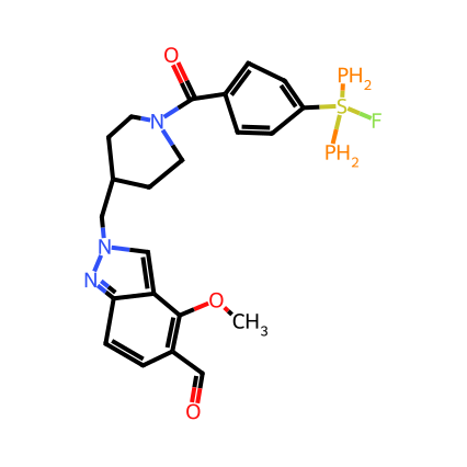 COc1c(C=O)ccc2nn(CC3CCN(C(=O)c4ccc(S(F)(P)P)cc4)CC3)cc12